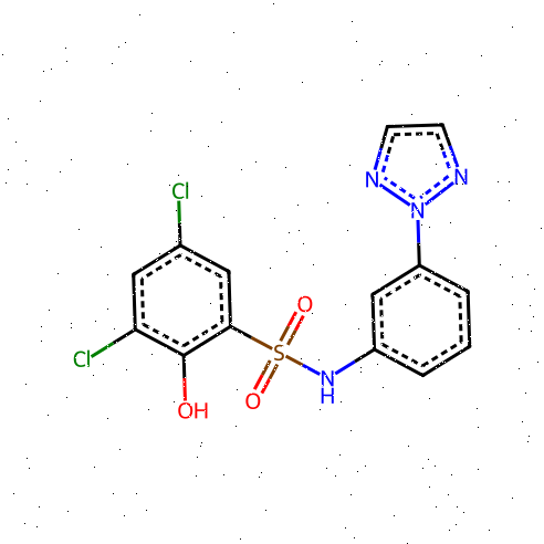 O=S(=O)(Nc1cccc(-n2nccn2)c1)c1cc(Cl)cc(Cl)c1O